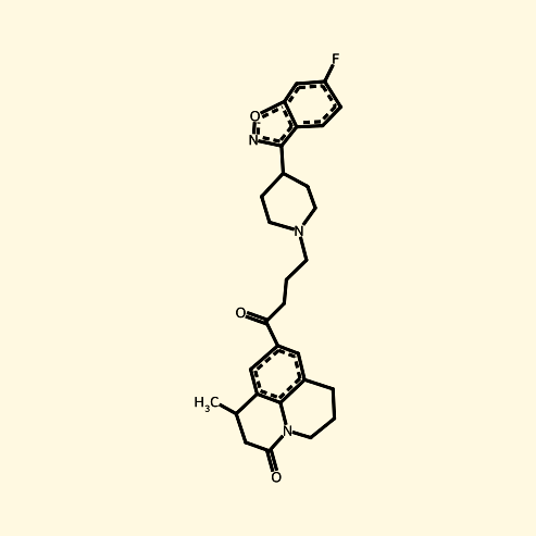 CC1CC(=O)N2CCCc3cc(C(=O)CCCN4CCC(c5noc6cc(F)ccc56)CC4)cc1c32